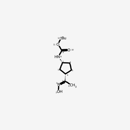 C/C(=N\O)[C@H]1CC[C@@H](NC(=O)OC(C)(C)C)C1